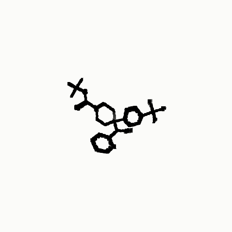 CC(C)(C)OC(=O)N1CCC(c2ccc(C(F)(F)F)cc2)(C(O)c2ccccn2)CC1